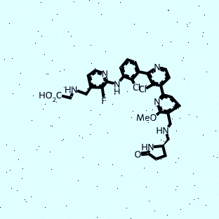 COc1nc(-c2ccnc(-c3cccc(Nc4nccc(CNCC(=O)O)c4F)c3Cl)c2Cl)ccc1CNC[C@H]1CCC(=O)N1